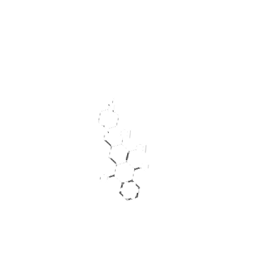 CN1CCN(C=C2C=C3C(=O)c4ccccc4C(=O)C3=C(O)C2O)CC1